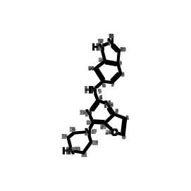 c1cc2nc(Nc3ccc4cn[nH]c4c3)nc(N3CCNCC3)c2o1